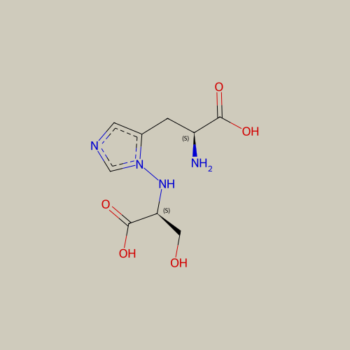 N[C@@H](Cc1cncn1N[C@@H](CO)C(=O)O)C(=O)O